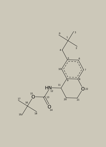 CC(C)(C)Cc1ccc2c(c1)C(NC(=O)OC(C)(C)C)CCO2